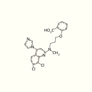 CN(CCCOc1ccccc1C(=O)O)c1cc(-n2ccnc2)c2ccc(Cl)c(Cl)c2n1